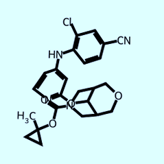 CC1(OC(=O)N2CC3COCC(C2)C3Oc2cc(Nc3ccc(C#N)cc3Cl)ccn2)CC1